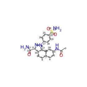 CC(=O)Nc1ccc2ccc3c(C(N)=O)nn(-c4ccc(S(N)(=O)=O)cc4)c3c2c1